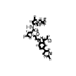 CC(=O)c1nn(CC(=O)N2C[C@H](F)C[C@H]2C(=O)Nc2cc(C)n(CC(F)(F)F)n2)c2ccc(-c3cnc(C)nc3)cc12